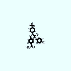 CC(C)(C)C1CCC(N(Cc2ccc(C(=O)O)cc2)C(=O)Nc2ccc(Cl)cc2)CC1